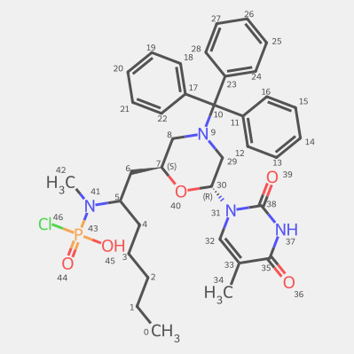 CCCCCC(C[C@H]1CN(C(c2ccccc2)(c2ccccc2)c2ccccc2)C[C@H](n2cc(C)c(=O)[nH]c2=O)O1)N(C)P(=O)(O)Cl